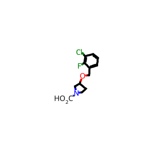 O=C(O)N1CCC(OCc2cccc(Cl)c2F)C1